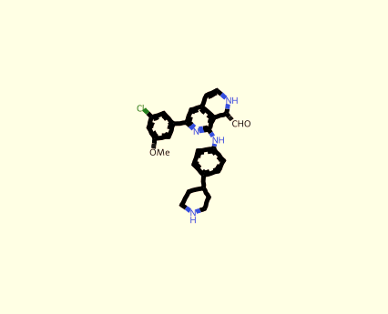 COc1cc(Cl)cc(-c2cc3c(c(Nc4ccc(C5CCNCC5)cc4)n2)C(C=O)NC=C3)c1